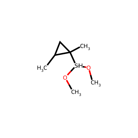 CO[SiH](OC)C1(C)CC1C